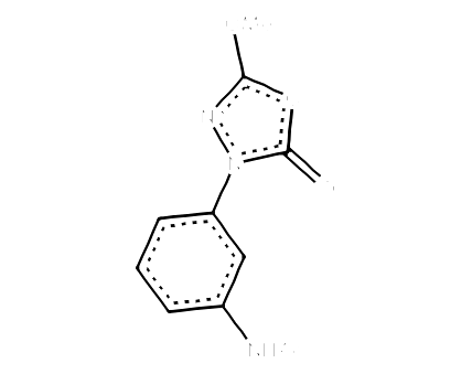 COc1nn(-c2cccc(NC(C)=O)c2)c(=O)o1